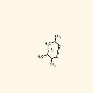 CC(C)N=C=NC(C)C(C)C